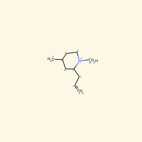 C=CCC1CC(C)CCN1C(=O)O